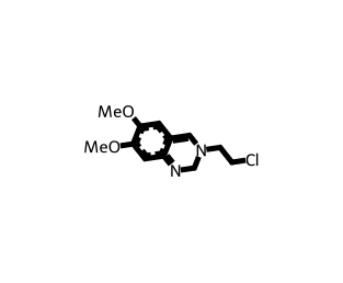 COc1cc2c(cc1OC)=NCN(CCCl)C=2